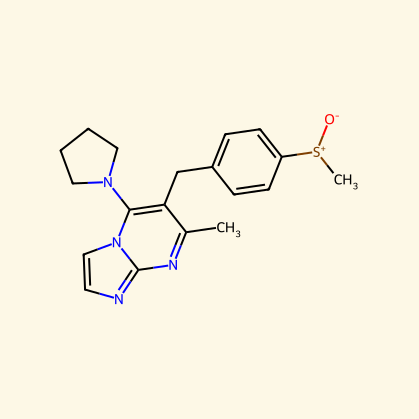 Cc1nc2nccn2c(N2CCCC2)c1Cc1ccc([S+](C)[O-])cc1